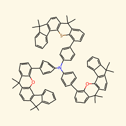 CC1(C)c2cccc(-c3ccc(N(c4ccc(-c5cccc6c5Oc5c(ccc7c5-c5ccccc5C7(C)C)C6(C)C)cc4)c4ccc(-c5cccc6c5Sc5c(ccc7c5-c5ccccc5C7(C)C)C6(C)C)cc4)cc3)c2Oc2c1ccc1c2-c2ccccc2C1(C)C